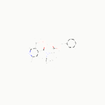 Cc1cc(C(=O)N2[C@@H](C(=O)OCc3ccccc3)C[C@H]3C[C@H]32)c(C(C)O)cn1